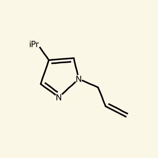 C=CCn1cc(C(C)C)cn1